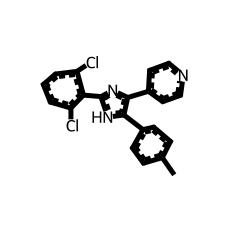 Cc1ccc(-c2[nH]c(-c3c(Cl)cccc3Cl)nc2-c2ccncc2)cc1